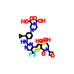 O=C(O)C1CN(c2ccc(Nc3ncc(C(F)(F)F)c(-c4cc5c(s4)C(=O)N(C4COC4)CCS5(O)O)n3)c(C3CC3)c2)CCN1C(=O)O